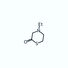 [CH2]CN1CCSC(=O)C1